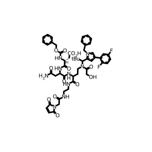 CC(C)(C)C(c1cc(-c2cc(F)ccc2F)cn1Cc1ccccc1)N(CCC(NC(=O)C(CC(N)=O)NC(=O)[C@@H](CC(=O)O)NC(=O)OCc1ccccc1)C(=O)NCCNC(=O)CN1C(=O)C=CC1=O)C(=O)CO